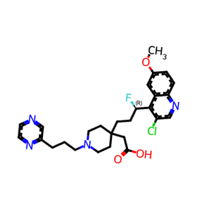 COc1ccc2ncc(Cl)c([C@H](F)CCC3(CC(=O)O)CCN(CCCc4cnccn4)CC3)c2c1